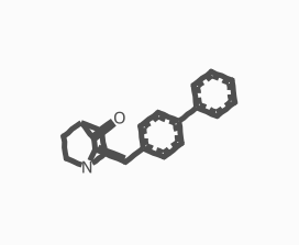 O=C1/C(=C\c2ccc(-c3ccccc3)cc2)N2CCC1CC2